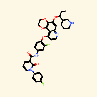 CCC(Oc1cc2nccc(Oc3ccc(NC(=O)c4cccn(-c5ccc(F)cc5)c4=O)cc3F)c2c2c1OCCO2)C1CCCNC1